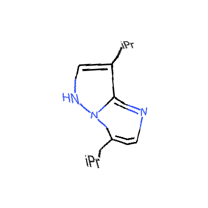 CC(C)c1c[nH]n2c(C(C)C)cnc12